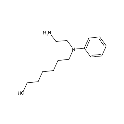 NCCN(CCCCCCO)c1ccccc1